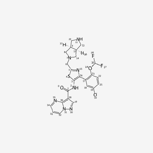 O=C(Nc1sc(CN2C[C@H]3CNC[C@H]3C2)nc1-c1cc(Cl)ccc1OC(F)F)c1cnn2cccnc12